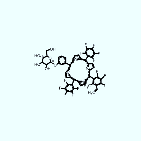 C=Cc1c(C)c(-c2c3nc(c(-c4c(F)c(F)c(F)c(F)c4F)c4ccc([nH]4)c(-c4cccc(O[C@@H]5OC(CO)[C@@H](O)C(O)C5O)c4)c4nc(c(-c5c(F)c(F)c(F)c(F)c5F)c5ccc2[nH]5)C=C4)C=C3)c(F)c(F)c1F